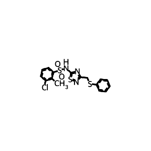 Cc1c(Cl)cccc1S(=O)(=O)Nc1nc(CSc2ccccc2)ns1